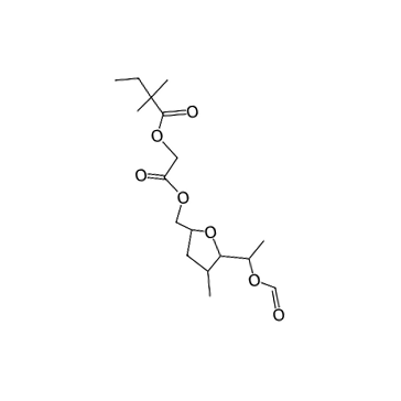 CCC(C)(C)C(=O)OCC(=O)OCC1CC(C)C(C(C)OC=O)O1